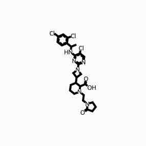 CC(Nc1nc(N2CC(C3CCCN(CCN4CCCC4=O)C3C(=O)O)C2)ncc1Cl)c1ccc(Cl)cc1Cl